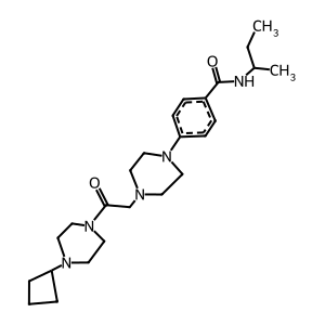 CCC(C)NC(=O)c1ccc(N2CCN(CC(=O)N3CCN(C4CCC4)CC3)CC2)cc1